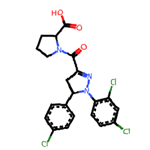 O=C(O)C1CCCN1C(=O)C1=NN(c2ccc(Cl)cc2Cl)C(c2ccc(Cl)cc2)C1